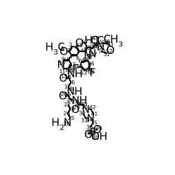 COc1cc2c(cc1-c1cncc(NC(=O)CCNC(=O)[C@@H](CCCCN)NC(=O)CN3CCN(CCS(=O)(=O)O)CC3)c1)-c1c(c(C(=O)N3CCOCC3(C)C)nn1-c1cc(F)cc(F)c1)CO2